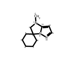 CN1CC2(CCCCC2)n2nccc21